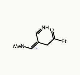 CCC(=O)C/C(C=N)=C/NC